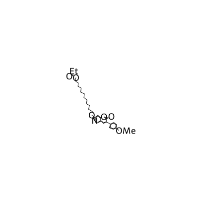 CCC(=O)OCCCCCCCCCCCCOc1cc2oc(=O)c(-c3ccc(OC)cc3)cc2cn1